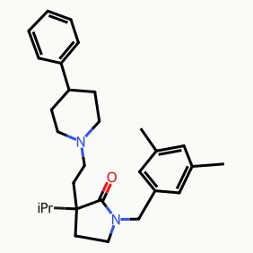 Cc1cc(C)cc(CN2CCC(CCN3CCC(c4ccccc4)CC3)(C(C)C)C2=O)c1